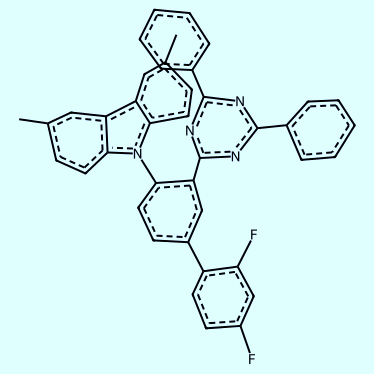 Cc1ccc2c(c1)c1cc(C)ccc1n2-c1ccc(-c2ccc(F)cc2F)cc1-c1nc(-c2ccccc2)nc(-c2ccccc2)n1